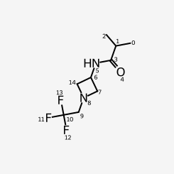 CC(C)C(=O)NC1CN(CC(F)(F)F)C1